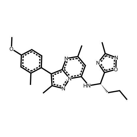 CCC[C@H](Nc1cc(C)nc2c(-c3ccc(OC)cc3C)c(C)nn12)c1nc(C)no1